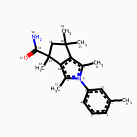 Cc1cccc(-n2c(C)c3c(c2C)C(C)(C(N)=O)CC3(C)C)c1